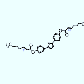 CCCC/C=C/C(=O)Oc1ccc(-c2ccc(-c3ccc(OC(=O)/C=C/CCCC)cc3)s2)cc1